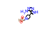 Nc1ncnc2[nH]cc(C3CCN(C[SH](=O)=O)CC3)c12